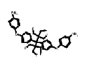 Nc1ccc(Sc2ccc(C(c3ccc(Sc4ccc(N)cc4)cc3)(C(CF)(CF)CF)C(CF)(CF)CF)cc2)cc1